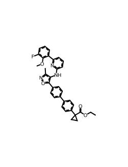 CCOC(=O)C1(c2ccc(-c3ccc(-c4onc(C)c4Nc4cccc(-c5cccc(F)c5OC)n4)cc3)cc2)CC1